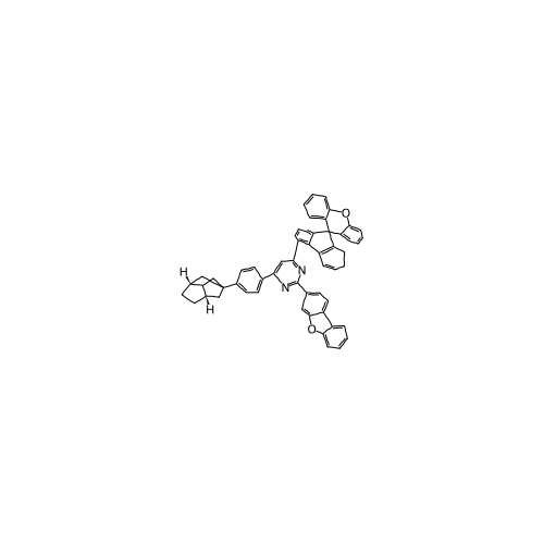 C1=CC2=C(CC1)C1(c3ccccc3Oc3ccccc31)c1cccc(-c3cc(-c4ccc(C56CC7[C@H](CC[C@H]7C5)C6)cc4)nc(-c4ccc5c(c4)oc4ccccc45)n3)c12